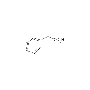 O=C(O)Cc1[c]cc[c]c1